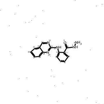 NNC(=O)c1ccccc1Nc1ncc2ccccc2n1